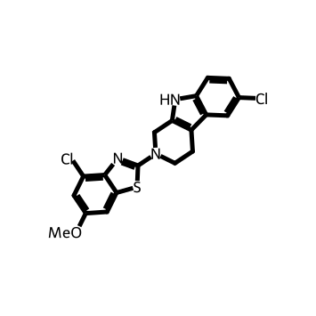 COc1cc(Cl)c2nc(N3CCc4c([nH]c5ccc(Cl)cc45)C3)sc2c1